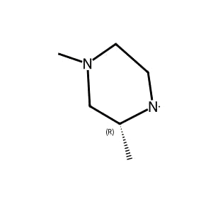 C[C@@H]1CN(C)CC[N]1